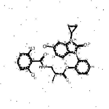 C[C@@H](CNC(=O)c1c(Cl)cccc1Cl)C(=O)Oc1ccccc1-n1c(=O)n(C2CC2)c2cc(Cl)ccc21